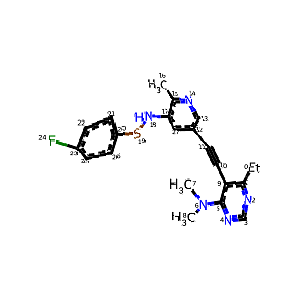 CCc1ncnc(N(C)C)c1C#Cc1cnc(C)c(NSc2ccc(F)cc2)c1